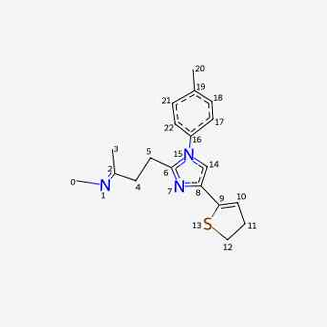 C/N=C(\C)CCc1nc(C2=CCCS2)cn1-c1ccc(C)cc1